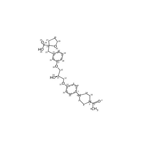 CC(=O)N1CCN(c2ccc(OC[C@@H](O)COc3cccc(CC4(C(=O)O)CCCO4)c3)cc2)CC1